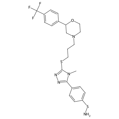 Cn1c(SCCCN2CCOC(c3ccc(C(F)(F)F)cc3)C2)nnc1-c1ccc(SN)cc1